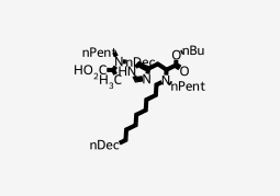 CCCCCCCCCCCCCCCCCCN(CCCCC)C(Cc1c[nH]cn1)C(=O)OCCCC.CCCCCCCCCCN(CCCCC)C(C)C(=O)O